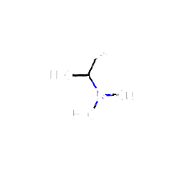 C[C](C(C)C)N(C)C